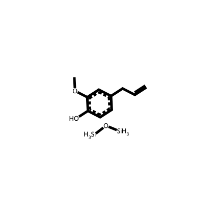 C=CCc1ccc(O)c(OC)c1.[SiH3]O[SiH3]